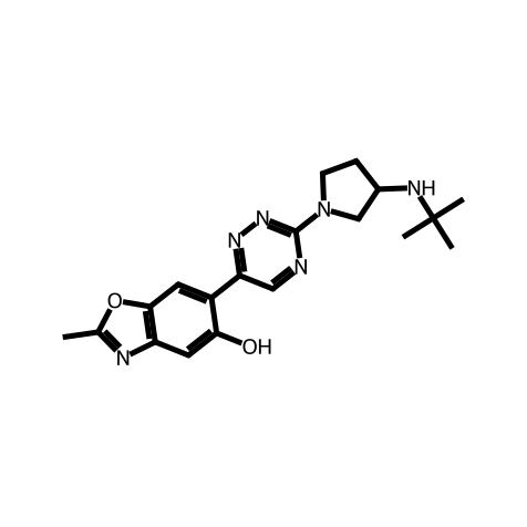 Cc1nc2cc(O)c(-c3cnc(N4CCC(NC(C)(C)C)C4)nn3)cc2o1